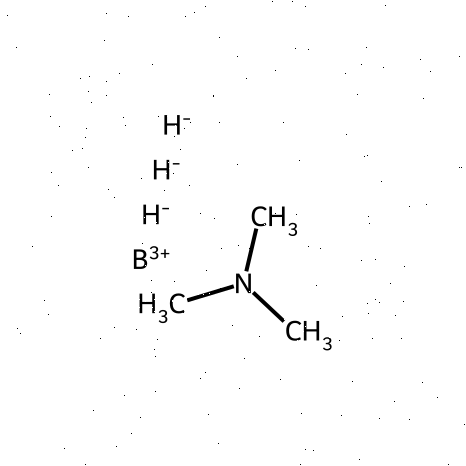 CN(C)C.[B+3].[H-].[H-].[H-]